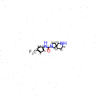 O=C(Nc1ccc(C(F)(F)F)cc1)N1CCC2(CCCNC2)C1